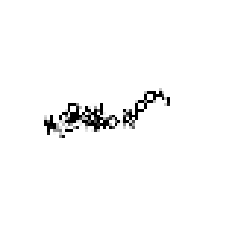 Cc1ccc(-n2cnc(-c3ccc(NC(=O)/N=C(\S)Nc4ccccc4C(C)(C)C)cc3)n2)cc1